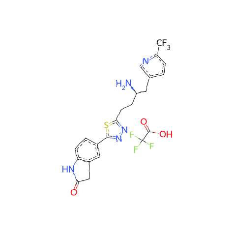 N[C@H](CCc1nnc(-c2ccc3c(c2)CC(=O)N3)s1)Cc1ccc(C(F)(F)F)nc1.O=C(O)C(F)(F)F